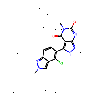 CCn1cc2c(Cl)c(-c3[nH]nc4nc(O)n(C)c(=O)c34)ccc2n1